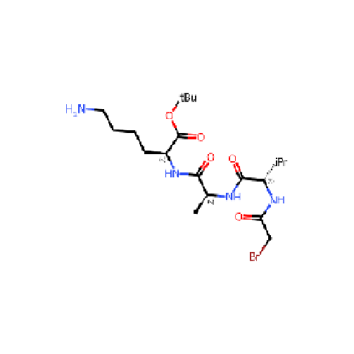 CC(C)[C@H](NC(=O)CBr)C(=O)N[C@@H](C)C(=O)N[C@@H](CCCCN)C(=O)OC(C)(C)C